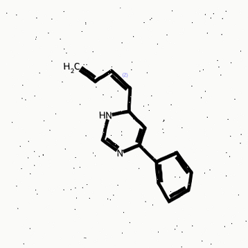 C=C/C=C\C1C=C(c2ccccc2)N=CN1